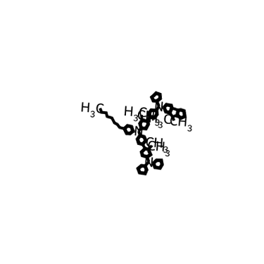 CCCCCCCCc1ccc(N(c2ccc(-c3ccc(N(c4ccccc4)c4ccccc4)cc3C)c(C)c2)c2ccc(-c3ccc(N(c4ccccc4)c4ccc5c(c4)C(C)(C)c4ccccc4-5)cc3C)c(C)c2)cc1